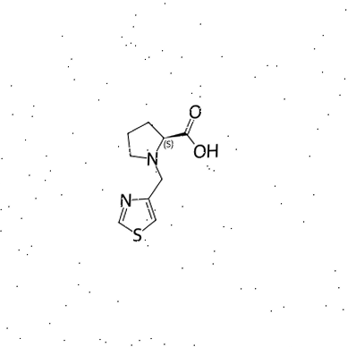 O=C(O)[C@@H]1CCCN1Cc1cscn1